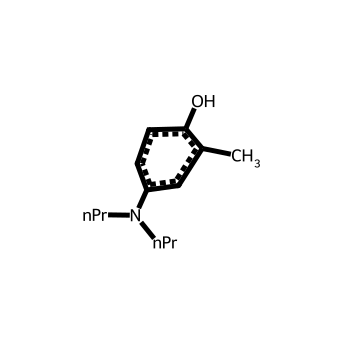 CCCN(CCC)c1ccc(O)c(C)c1